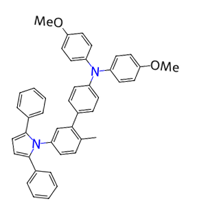 COc1ccc(N(c2ccc(OC)cc2)c2ccc(-c3cc(-n4c(-c5ccccc5)ccc4-c4ccccc4)ccc3C)cc2)cc1